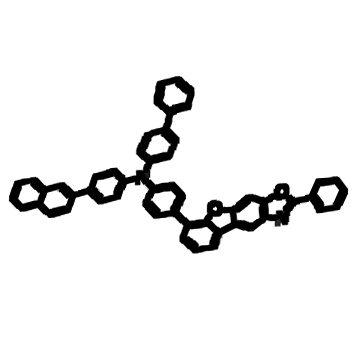 c1ccc(-c2ccc(N(c3ccc(-c4ccc5ccccc5c4)cc3)c3ccc(-c4cccc5c4oc4cc6oc(-c7ccccc7)nc6cc45)cc3)cc2)cc1